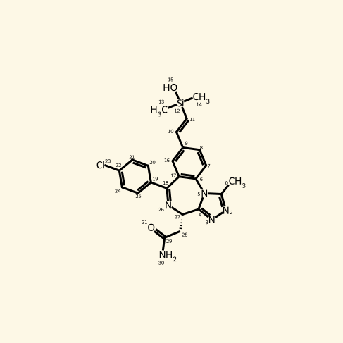 Cc1nnc2n1-c1ccc(/C=C/[Si](C)(C)O)cc1C(c1ccc(Cl)cc1)=N[C@H]2CC(N)=O